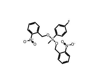 C[Si](OCc1ccccc1[N+](=O)[O-])(OCc1ccccc1[N+](=O)[O-])c1ccc(F)cc1